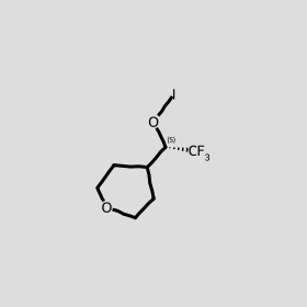 FC(F)(F)[C@@H](OI)C1CCOCC1